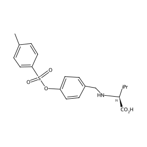 Cc1ccc(S(=O)(=O)Oc2ccc(CN[C@H](C(=O)O)C(C)C)cc2)cc1